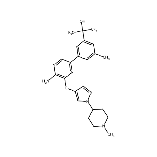 Cc1cc(-c2cnc(N)c(Oc3cnn(C4CCN(C)CC4)c3)n2)cc(C(O)(C(F)(F)F)C(F)(F)F)c1